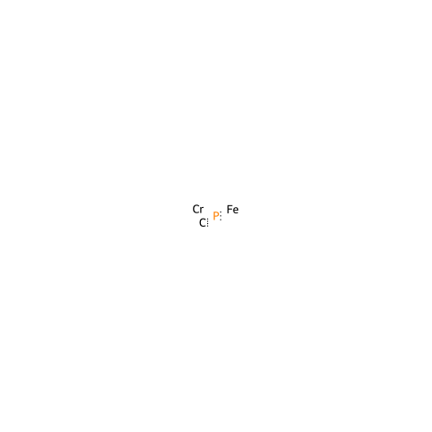 [C].[Cr].[Fe].[P]